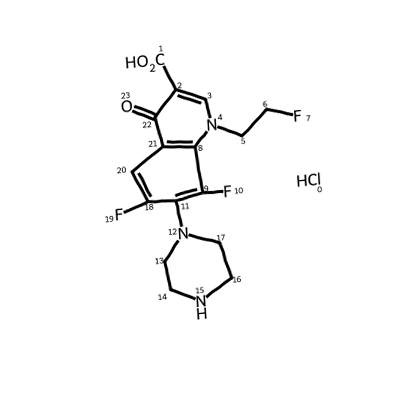 Cl.O=C(O)c1cn(CCF)c2c(F)c(N3CCNCC3)c(F)cc2c1=O